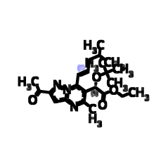 CCOC(=O)[C@@H](OC(C)(C)C)c1c(C)nc2cc(C(C)=O)nn2c1/C=C/CC(C)C